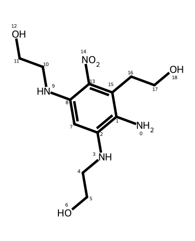 Nc1c(NCCO)cc(NCCO)c([N+](=O)[O-])c1CCO